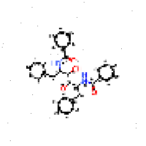 O=C(NC(Cc1ccccc1)C(O)C(O)C(Cc1ccccc1)NC(=O)c1ccccc1)c1ccccc1